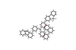 CC1(C)c2ccccc2-c2ccc(-c3ccc(N(c4cccc(-c5cccc6c5oc5ccccc56)c4)c4ccccc4-c4cccc5cccc(-c6ccccc6)c45)cc3)cc21